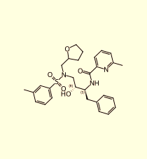 Cc1cccc(S(=O)(=O)N(CC2CCCO2)C[C@@H](O)[C@H](Cc2ccccc2)NC(=O)c2cccc(C)n2)c1